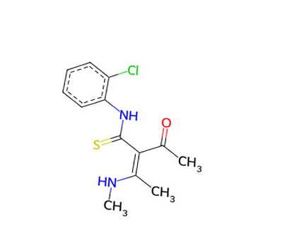 CNC(C)=C(C(C)=O)C(=S)Nc1ccccc1Cl